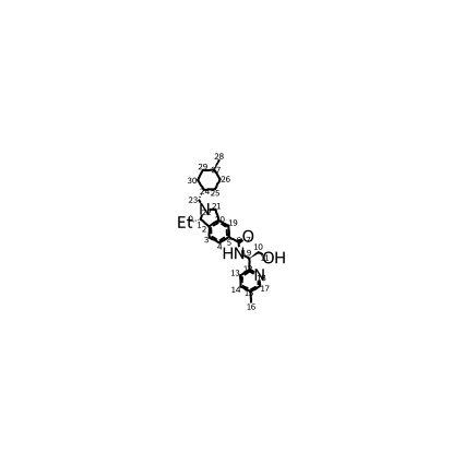 CC[C@H]1c2ccc(C(=O)N[C@@H](CO)c3ccc(C)cn3)cc2CN1C[C@H]1CC[C@H](C)CC1